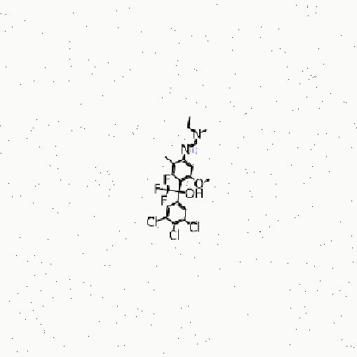 CCN(C)/C=N/c1cc(OC)c(C(O)(c2cc(Cl)c(Cl)c(Cl)c2)C(F)(F)F)cc1C